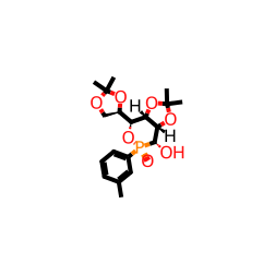 Cc1cccc(P2(=O)O[C@H]([C@H]3COC(C)(C)O3)[C@@H]3OC(C)(C)O[C@@H]3[C@@H]2O)c1